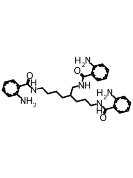 Nc1ccccc1C(=O)NCCCCC(CCCNC(=O)c1ccccc1N)CNC(=O)c1ccccc1N